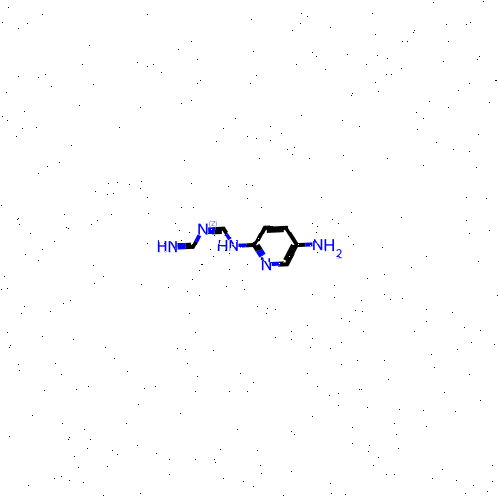 N=C/N=C\Nc1ccc(N)cn1